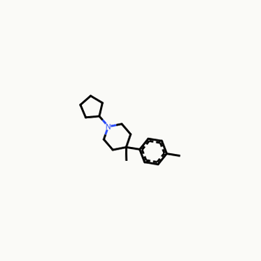 Cc1ccc(C2(C)CCN(C3CCCC3)CC2)cc1